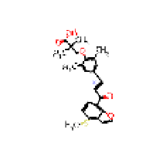 CSc1ccc(C(=O)/C=C/c2cc(C)c(OCC(C)(C)C(=O)O)c(C)c2)c2occc12